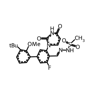 COc1c(-c2cc(F)c(C=NNS(C)(=O)=O)c(-n3ccc(=O)[nH]c3=O)c2)cccc1C(C)(C)C